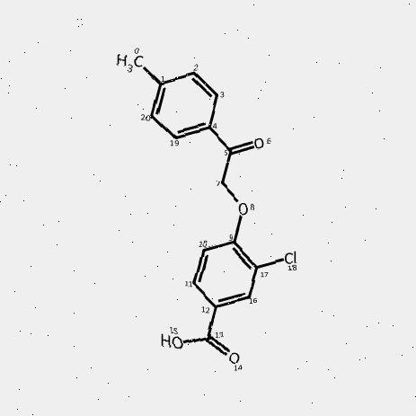 Cc1ccc(C(=O)COc2ccc(C(=O)O)cc2Cl)cc1